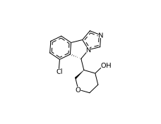 OC1CCOC[C@H]1[C@@H]1c2c(Cl)cccc2-c2cncn21